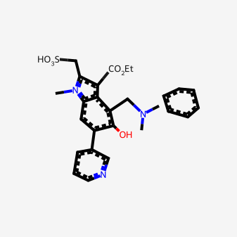 CCOC(=O)c1c(CS(=O)(=O)O)n(C)c2cc(-c3cccnc3)c(O)c(CN(C)C)c12.c1ccccc1